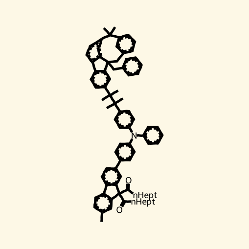 CCCCCCCC(=O)C1(C(=O)CCCCCCC)c2cc(C)ccc2-c2ccc(-c3ccc(N(c4ccccc4)c4ccc(C(C)(C)C(C)(C)c5ccc6c(c5)C5(Cc7ccccc7)Cc7cccc(c7)C(C)(C)c7ccc-6c5c7)cc4)cc3)cc21